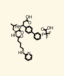 CC(C)C[C@H](NC(=O)CCCCNc1ccccn1)C(=O)NC(CC(=O)O)c1ccc(-c2ccccc2)cc1.O=C(O)C(F)(F)F